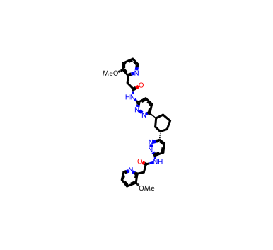 COc1cccnc1CC(=O)Nc1ccc([C@H]2CCC[C@H](c3ccc(NC(=O)Cc4ncccc4OC)nn3)C2)nn1